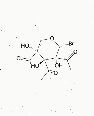 CC(=O)[C@]1(O)[C@@](O)(C(C)=O)CO[C@H](Br)[C@@]1(O)C(C)=O